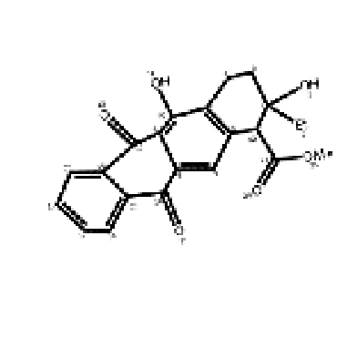 CCC1(O)CCc2c(cc3c(c2O)C(=O)c2ccccc2C3=O)C1C(=O)OC